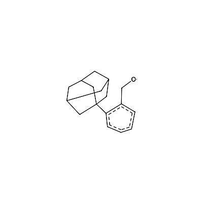 [O]Cc1ccccc1C12CC3CC(CC(C3)C1)C2